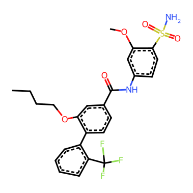 CCCCOc1cc(C(=O)Nc2ccc(S(N)(=O)=O)c(OC)c2)ccc1-c1ccccc1C(F)(F)F